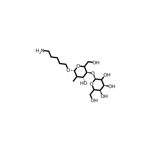 CC1[C@H](OCCCCCN)OC(CO)[C@@H](O[C@@H]2OC(CO)[C@H](O)[C@H](O)C2O)[C@@H]1O